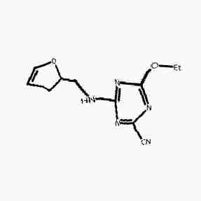 CCOc1nc(C#N)nc(NCC2CC=CO2)n1